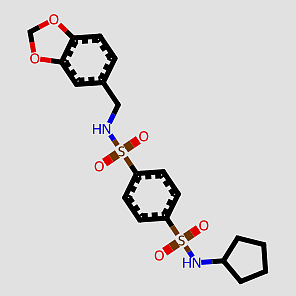 O=S(=O)(NCc1ccc2c(c1)OCO2)c1ccc(S(=O)(=O)NC2CCCC2)cc1